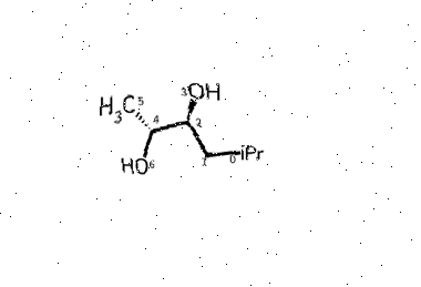 CC(C)C[C@H](O)[C@@H](C)O